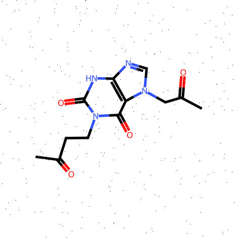 CC(=O)CCn1c(=O)[nH]c2ncn(CC(C)=O)c2c1=O